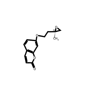 C[C@@]1(CCOc2ccc3ccc(=O)oc3c2)CO1